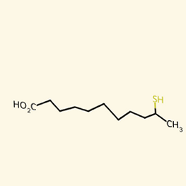 CC(S)CCCCCCCCC(=O)O